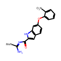 CNC(N)=NC(=O)c1cc2ccc(Oc3ccccc3[N+](=O)[O-])cc2[nH]1